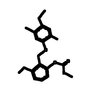 CCc1cc(C)c(OCc2c(CC)cccc2OC(=O)SC)cc1C